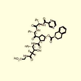 CCC[C@H](NC(=O)[C@@H]1C[C@@H](OC(=O)N2CCc3ccccc3C2)CC1C(=O)[C@@H](NC(=O)[C@@H](NC(=O)c1cnccn1)C(C)C)C(C)C)C(O)C(F)(F)C(=O)NCC(=O)O